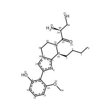 CCCC[C@H]1c2nc(-c3c(O)cccc3OC)cn2CCN1C(=O)[C@@H](N)CS